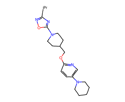 CC(C)c1noc(N2CCC(COc3ccc(N4CCCCC4)cn3)CC2)n1